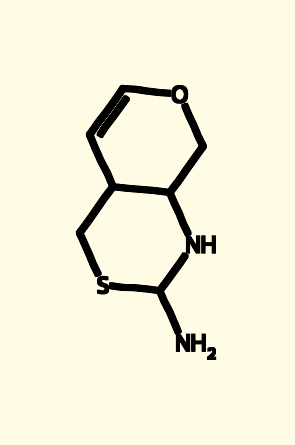 NC1NC2COC=CC2CS1